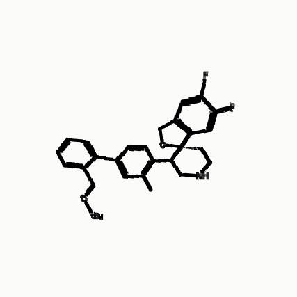 Cc1cc(-c2ccccc2COC(C)(C)C)ccc1C1CNCC[C@@]12OCc1cc(F)c(F)cc12